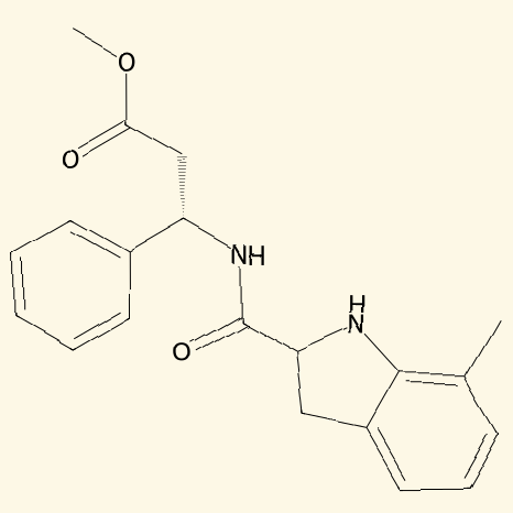 COC(=O)C[C@H](NC(=O)C1Cc2cccc(C)c2N1)c1ccccc1